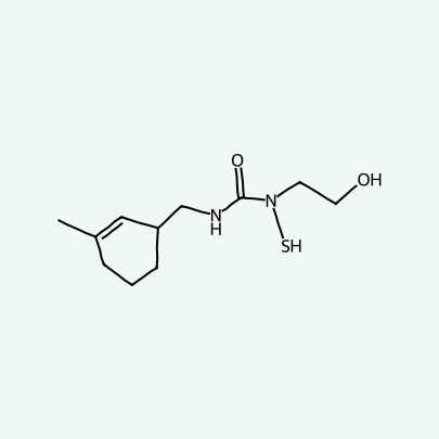 CC1=CC(CNC(=O)N(S)CCO)CCC1